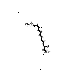 CCCCCCCCCC/C=C\CCCCCCOC(=O)CC(C)C